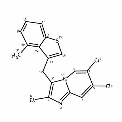 CCc1nc2cc(Cl)c(Cl)cn2c1Cc1csc2cccc(C)c12